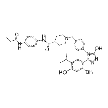 CCC(=O)Nc1ccc(NC(=O)C2CCN(Cc3ccc(-n4c(O)nnc4-c4cc(C(C)C)c(O)cc4O)cc3)CC2)cc1